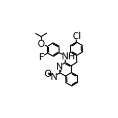 CC(C)Oc1ccc(Nc2nc(N=O)c3ccccc3c2Cc2ccc(Cl)cc2)cc1F